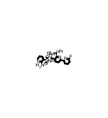 CCCN(c1nc(-c2cccc(F)n2)ccc1C(=O)NS(=O)(=O)c1cccnc1N)C(C)(C)C